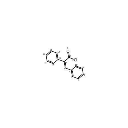 O=C(Cl)C(=Cc1ccccc1)c1ccccc1